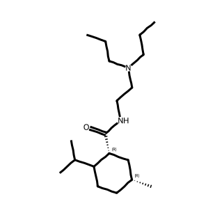 CCCN(CCC)CCNC(=O)[C@@H]1C[C@H](C)CCC1C(C)C